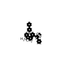 CC1(C)c2ccccc2-c2c(N(c3ccc(-c4ccccc4)cc3)c3ccc(-c4sc(-c5ccccc5)c5c4OCCO5)cc3)cccc21